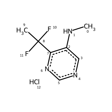 CNc1cncnc1C(C)(F)F.Cl